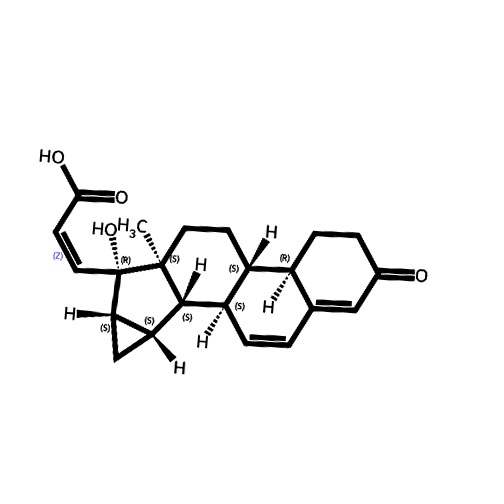 C[C@]12CC[C@H]3[C@@H](C=CC4=CC(=O)CC[C@@H]43)[C@@H]1[C@@H]1C[C@@H]1[C@@]2(O)/C=C\C(=O)O